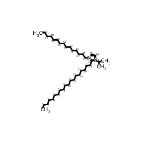 CCCCCCCCCCCCCCCCCCCc1n(C(C)C)cc[n+]1CCCCCCCCCCCCCCC